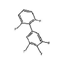 Fc1cc(-c2c(F)cccc2F)cc(F)c1F